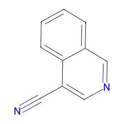 N#Cc1cncc2ccccc12